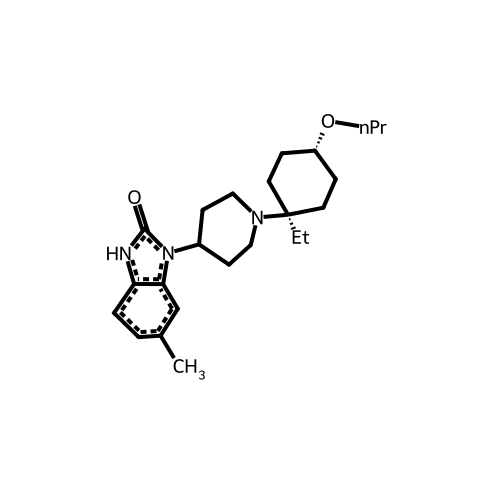 CCCO[C@H]1CC[C@](CC)(N2CCC(n3c(=O)[nH]c4ccc(C)cc43)CC2)CC1